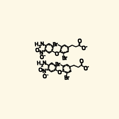 COC(=O)CCc1cc(Br)c(Oc2ccc(N)c([N+](=O)[O-])c2)c(Br)c1.COC(=O)CCc1cc(Br)c(Oc2ccc(N)c([N+](=O)[O-])c2)c(Br)c1